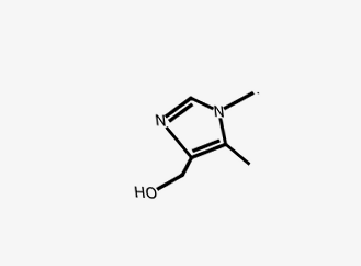 [CH2]n1cnc(CO)c1C